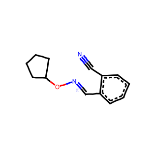 N#Cc1ccccc1/[C]=N/OC1CCCC1